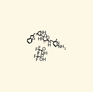 Cc1nc(N)ccc1CNC(=O)[C@H](C)NC(=O)[C@H]1C[C@H](Cc2cc3ccccc3s2)CN1.O=C(O)C(F)(F)F.O=C(O)C(F)(F)F